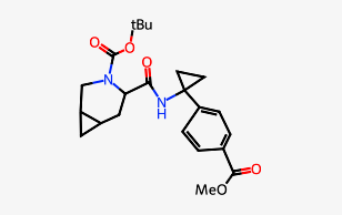 COC(=O)c1ccc(C2(NC(=O)C3CC4CC4CN3C(=O)OC(C)(C)C)CC2)cc1